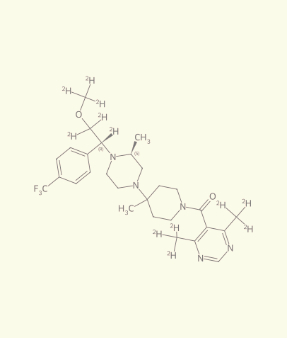 [2H]C([2H])([2H])OC([2H])([2H])[C@@]([2H])(c1ccc(C(F)(F)F)cc1)N1CCN(C2(C)CCN(C(=O)c3c(C([2H])([2H])[2H])ncnc3C([2H])([2H])[2H])CC2)C[C@@H]1C